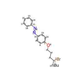 CCCCC(Br)CCCOc1ccc(/N=N/c2ccccc2)cc1